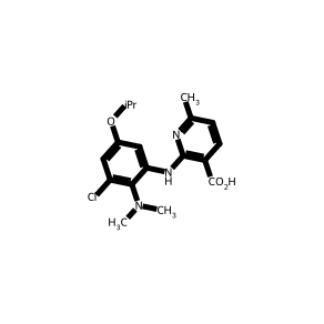 Cc1ccc(C(=O)O)c(Nc2cc(OC(C)C)cc(Cl)c2N(C)C)n1